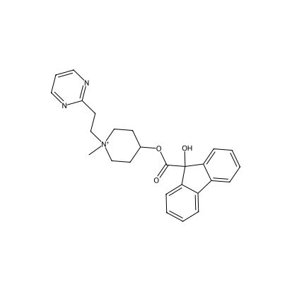 C[N+]1(CCc2ncccn2)CCC(OC(=O)C2(O)c3ccccc3-c3ccccc32)CC1